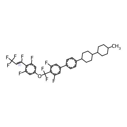 CC1CCC(C2CCC(c3ccc(-c4cc(F)c(C(F)(F)Oc5cc(F)c(/C(F)=C/C(F)(F)F)c(F)c5)c(F)c4)cc3)CC2)CC1